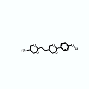 CCCC1COC(CCC2COC(c3ccc(OCC)cc3)OC2)OC1